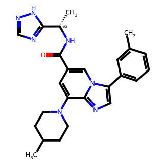 Cc1cccc(-c2cnc3c(N4CCC(C)CC4)cc(C(=O)N[C@@H](C)c4ncn[nH]4)cn23)c1